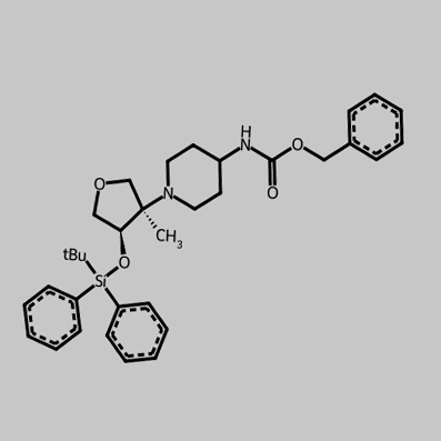 CC(C)(C)[Si](O[C@H]1COC[C@@]1(C)N1CCC(NC(=O)OCc2ccccc2)CC1)(c1ccccc1)c1ccccc1